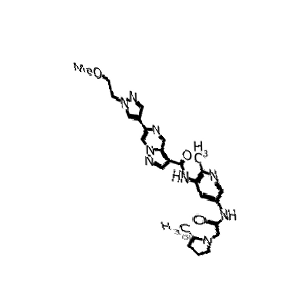 COCCn1cc(-c2cn3ncc(C(=O)Nc4cc(NC(=O)CN5CCC[C@@H]5C)cnc4C)c3cn2)cn1